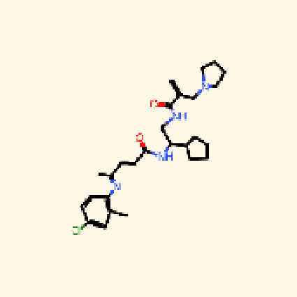 C=C(CN1CCCC1)C(=O)NCC(NC(=O)CC/C(C)=N/c1ccc(Cl)cc1C)C1CCCC1